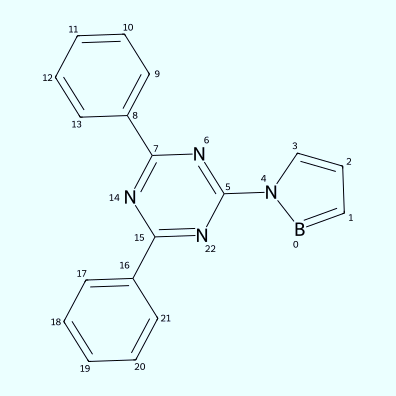 b1cccn1-c1nc(-c2ccccc2)nc(-c2ccccc2)n1